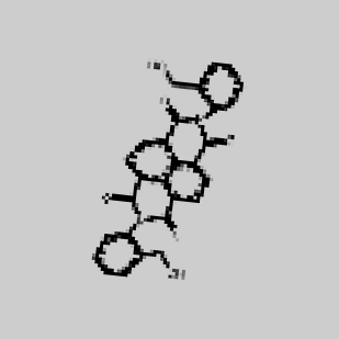 O=C1c2ccc3c4c(ccc(c24)C(=O)N1c1ccccc1CO)C(=O)N(c1ccccc1CO)C3=O